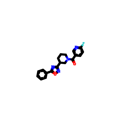 O=C(c1ccc(F)nc1)N1CCCC(c2noc(-c3ccccc3)n2)C1